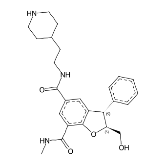 CNC(=O)c1cc(C(=O)NCCC2CCNCC2)cc2c1O[C@H](CO)[C@H]2c1ccccc1